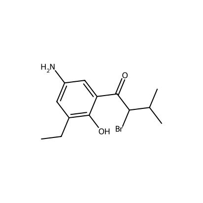 CCc1cc(N)cc(C(=O)C(Br)C(C)C)c1O